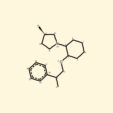 CC(COC1CCCCC1N1CC[C@@H](C)C1)c1ccccc1